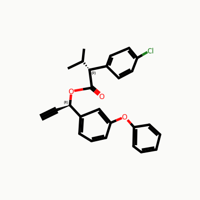 C#C[C@@H](OC(=O)[C@@H](c1ccc(Cl)cc1)C(C)C)c1cccc(Oc2ccccc2)c1